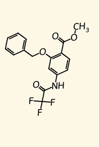 COC(=O)c1ccc(NC(=O)C(F)(F)F)cc1OCc1ccccc1